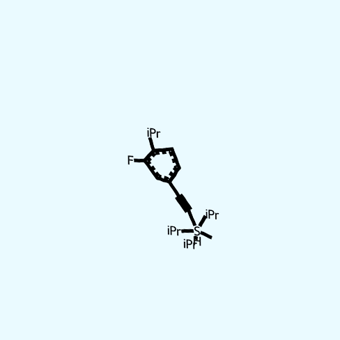 CC(C)c1ccc(C#C[SH](C)(C(C)C)(C(C)C)C(C)C)cc1F